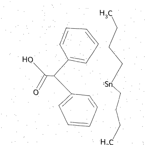 CCC[CH2][Sn][CH2]CCC.O=C(O)C(c1ccccc1)c1ccccc1